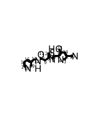 N#Cc1cnc(-c2nc(CC(=O)NCc3cccnc3)cs2)c(O)c1